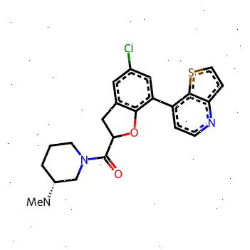 CN[C@@H]1CCCN(C(=O)C2Cc3cc(Cl)cc(-c4ccnc5ccsc45)c3O2)C1